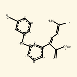 C=C(OC)/C(=C\C=C(/N)F)c1ccnc(Nc2cccc(Cl)c2)n1